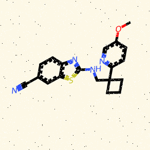 COc1ccc(C2(CNc3nc4ccc(C#N)cc4s3)CCC2)nc1